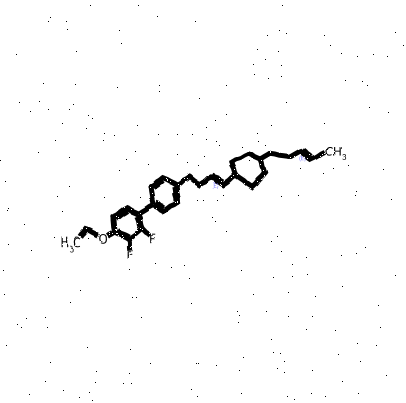 C/C=C/CCC1CCC(/C=C/CCc2ccc(-c3ccc(OCC)c(F)c3F)cc2)CC1